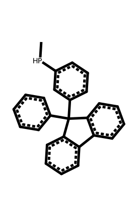 CPc1cccc(C2(c3ccccc3)c3ccccc3-c3ccccc32)c1